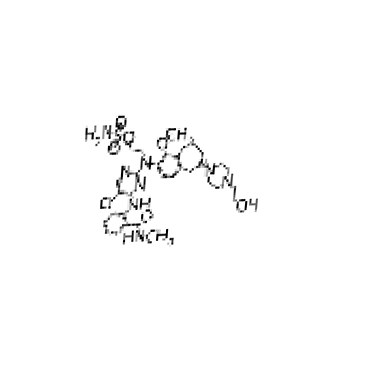 CNC(=O)c1ccccc1Nc1nc(N(CCOS(N)(=O)=O)c2ccc3c(c2OC)CCC[C@H](N2CCN(CCO)CC2)C3)ncc1Cl